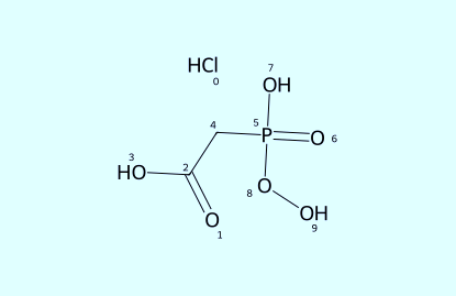 Cl.O=C(O)CP(=O)(O)OO